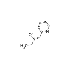 CC[N+]([O-])=Cc1ccccn1